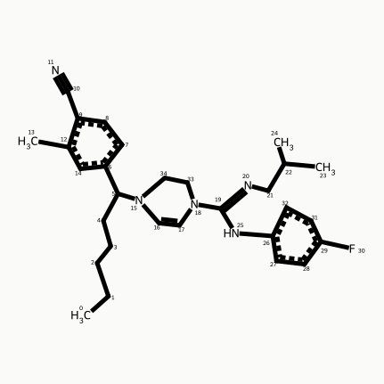 CCCCCC(c1ccc(C#N)c(C)c1)N1C=CN(C(=NCC(C)C)Nc2ccc(F)cc2)CC1